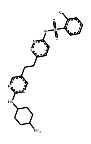 NC1CCC(Nc2ncc(CCc3ccc(NS(=O)(=O)c4ccccc4Cl)nn3)cn2)CC1